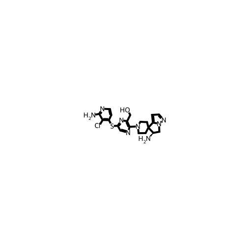 Nc1nccc(Sc2cnc(N3CCC4(CC3)c3ccnn3C[C@H]4N)c(CO)n2)c1Cl